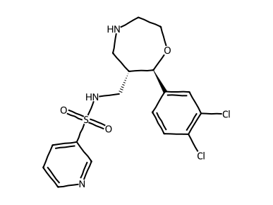 O=S(=O)(NC[C@@H]1CNCCO[C@H]1c1ccc(Cl)c(Cl)c1)c1cccnc1